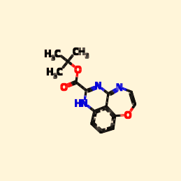 CC(C)(C)OC(=O)C1=NC2=NC=COc3cccc(c32)N1